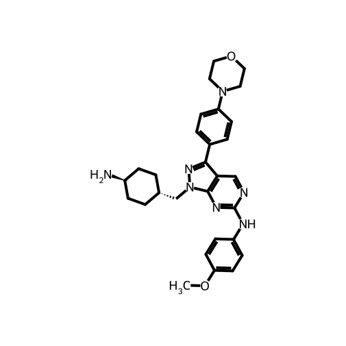 COc1ccc(Nc2ncc3c(-c4ccc(N5CCOCC5)cc4)nn(C[C@H]4CC[C@H](N)CC4)c3n2)cc1